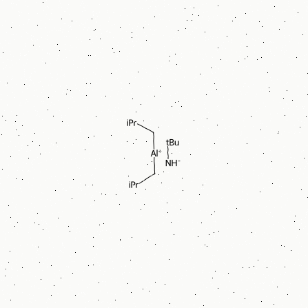 CC(C)(C)[NH-].CC(C)[CH2][Al+][CH2]C(C)C